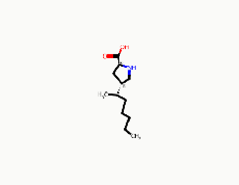 CCCCCC(C)[C@H]1CN[C@H](C(=O)O)C1